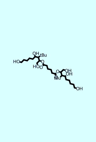 CC(C)(C)C(C(O)CCCCCO)C(CO)OC(=O)CCCCC(=O)OC(CO)C(C(O)CCCCCO)C(C)(C)C